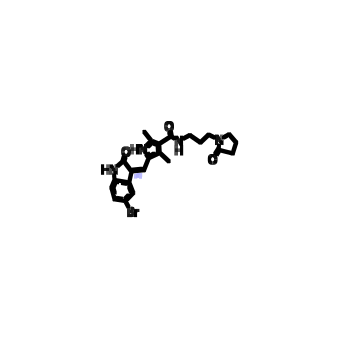 Cc1[nH]c(/C=C2\C(=O)Nc3ccc(Br)cc32)c(C)c1C(=O)NCCCN1CCCC1=O